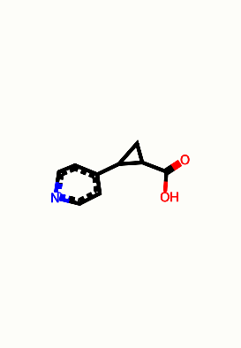 O=C(O)C1CC1c1ccncc1